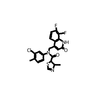 Cc1ccc(N(Cc2cc(=O)[nH]c3c(F)c(F)ccc23)C(=O)C2SC=NC2C)cc1Cl